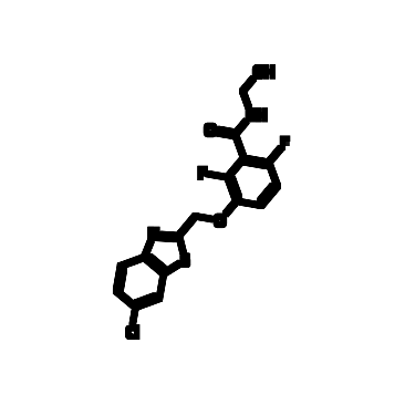 O=C(NCO)c1c(F)ccc(OCc2nc3ccc(Cl)cc3s2)c1F